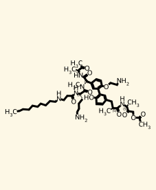 CCCCCCCCCCNCCC(=O)N[C@@H](CCCCN)C(=O)N(C)[C@H](C(=O)N[C@@H](C)C(C)=O)c1ccc(OCCN)c(-c2cc(C[C@H](C)C(=O)N[C@@H](C)C(=O)COC(C)=O)ccc2O)c1